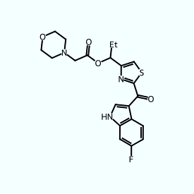 CCC(OC(=O)CN1CCOCC1)c1csc(C(=O)c2c[nH]c3cc(F)ccc23)n1